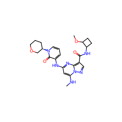 CNc1cc(Nc2cccn([C@@H]3CCCOC3)c2=O)nc2c(C(=O)NC3CCC3OC)cnn12